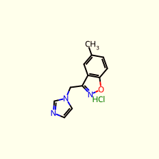 Cc1ccc2onc(Cn3ccnc3)c2c1.Cl